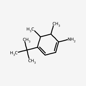 CC1C(N)=CC=C(C(C)(C)C)C1C